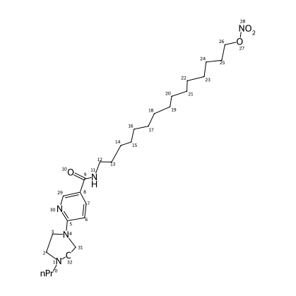 CCCN1CCN(c2ccc(C(=O)NCCCCCCCCCCCCCCCO[N+](=O)[O-])cn2)CC1